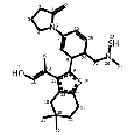 C=C1CCCN1C1=CC(c2sc3c(c2C(C)=CO)CC(C)(C)CC3)C(CN(C)S)C=C1